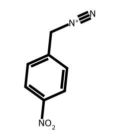 N#[N+]Cc1ccc([N+](=O)[O-])cc1